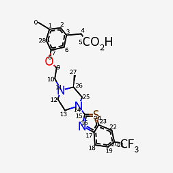 Cc1cc(CC(=O)O)cc(OCCN2CCN(c3nc4ccc(C(F)(F)F)cc4s3)C[C@@H]2C)c1